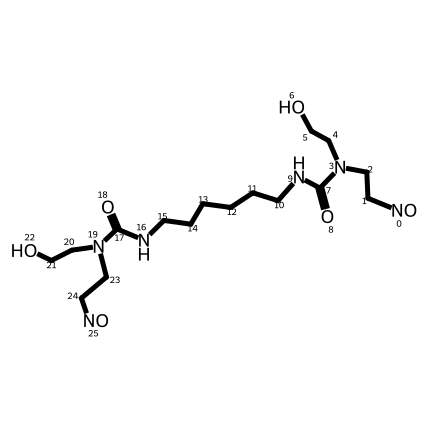 O=NCCN(CCO)C(=O)NCCCCCCNC(=O)N(CCO)CCN=O